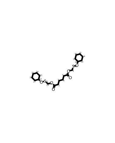 O=C(CCCCC(=O)OCSOC1CCCCC1)OCSOC1CCCCC1